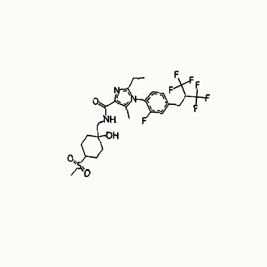 CCc1nc(C(=O)NCC2(O)CCC(S(C)(=O)=O)CC2)c(C)n1-c1ccc(CC(C(F)(F)F)C(F)(F)F)cc1F